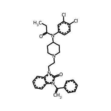 C=C(c1ccccc1)n1c(=O)n(CCN2CCC(N(C(=O)CC)c3ccc(Cl)c(Cl)c3)CC2)c2ccccc21